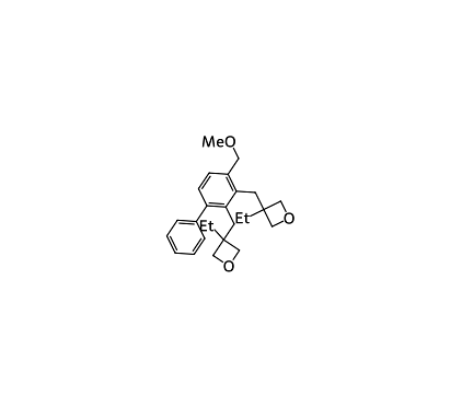 CCC1(Cc2c(COC)ccc(-c3ccccc3)c2CC2(CC)COC2)COC1